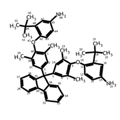 Cc1cc(C2(c3cc(C)c(Oc4ccc(N)cc4C(C)(C)C)c(C)c3)c3ccccc3-c3ccccc32)cc(C)c1Oc1ccc(N)cc1C(C)(C)C